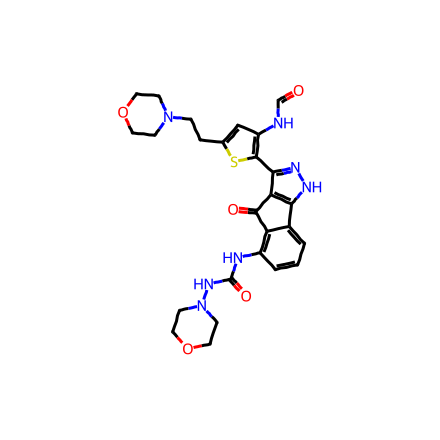 O=CNc1cc(CCN2CCOCC2)sc1-c1n[nH]c2c1C(=O)c1c(NC(=O)NN3CCOCC3)cccc1-2